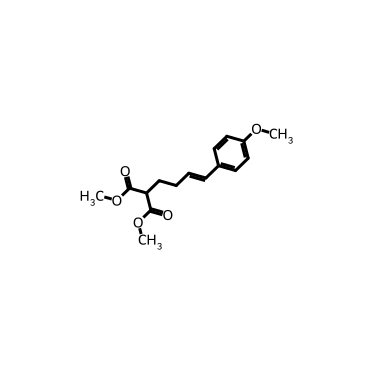 COC(=O)C(CCC=Cc1ccc(OC)cc1)C(=O)OC